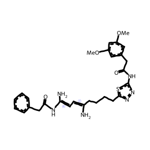 COc1cc(CC(=O)Nc2nnc(CCCC/C(N)=C/C=C(\N)NC(=O)Cc3ccccc3)s2)cc(OC)c1